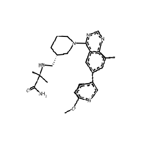 COc1ccc(-c2cc(C)c3ncnc(N4CCC[C@@H](CNC(C)(C)C(N)=O)C4)c3c2)cn1